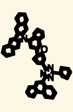 c1ccc(-c2nc(-c3ccc4c(c3)oc3c5ccccc5c(-n5c6cc7ccccc7cc6c6cc7ccccc7cc65)cc43)nc(-c3cc4ccccc4c4ccccc34)n2)cc1